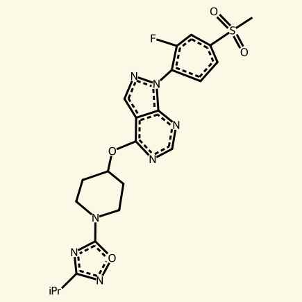 CC(C)c1noc(N2CCC(Oc3ncnc4c3cnn4-c3ccc(S(C)(=O)=O)cc3F)CC2)n1